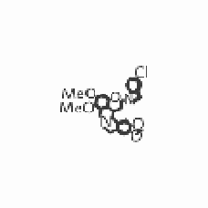 COc1ccc2c(c1OC)CN1CCc3cc4c(cc3C1C2CC(=O)n1ccc2cc(Cl)ccc21)OCO4